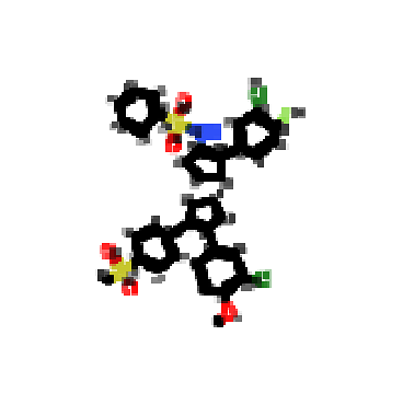 COc1ccc(C2=C(c3ccc(S(C)(=O)=O)cc3)CCC2)cc1Cl.O=S(=O)(NC1=C(c2ccc(F)c(Cl)c2)CCC1)c1ccccc1